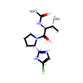 COC(=O)N[C@H](C(=O)N1CCC[C@H]1c1ncc(Br)[nH]1)[C@@H](C)OC